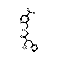 CCN(Cc1ccco1)C(=O)CNCc1cc(C(=O)O)ccn1